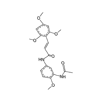 COc1cc(OC)c(C=CC(=O)Nc2ccc(OC)c(NC(C)=O)c2)c(OC)c1